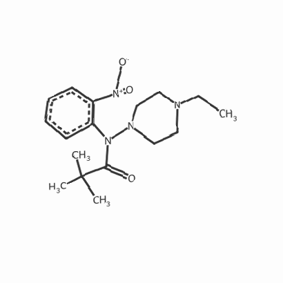 CCN1CCN(N(C(=O)C(C)(C)C)c2ccccc2[N+](=O)[O-])CC1